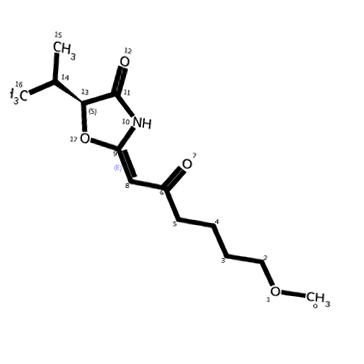 COCCCCC(=O)/C=C1\NC(=O)[C@H](C(C)C)O1